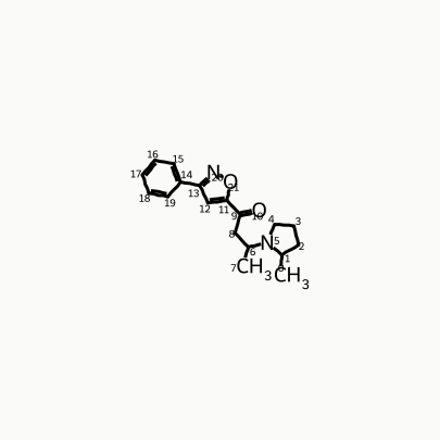 CC1CCCN1C(C)CC(=O)c1cc(-c2ccccc2)no1